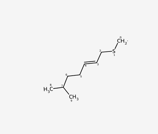 [CH2]SCC=CCCC(C)C